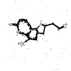 Cc1cc2c(c3ccc(=O)[nH]c13)OC(CCCl)C2